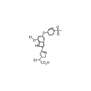 CCOc1cc(Oc2ccc(S(C)(=O)=O)nc2)cc2cc(C3=NCC(C(CC)C(=O)O)S3)[nH]c12